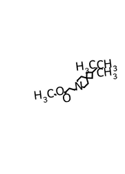 CCOC(=O)CCN1CCC2(CC1)CC(C(C)(C)C)C2